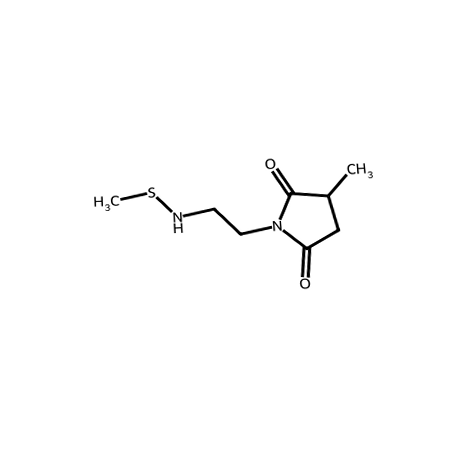 CSNCCN1C(=O)CC(C)C1=O